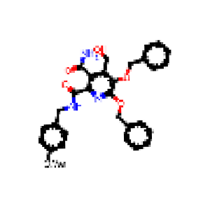 COc1ccc(CNC(=O)c2nc(OCc3ccccc3)c(OCc3ccccc3)c(CO)c2C(N)=O)cc1